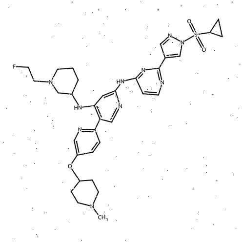 CN1CCC(Oc2ccc(-c3cnc(Nc4ccnc(-c5cnn(S(=O)(=O)C6CC6)c5)n4)cc3NC3CCCN(CCF)C3)nc2)CC1